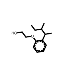 CCC(C)C(C)c1ccccc1OCCO